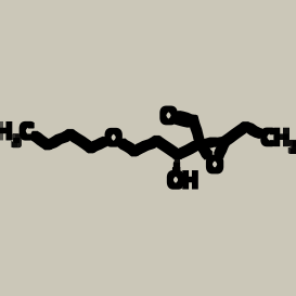 CCCCOCC[C@@H](O)C1(C=O)OC1CC